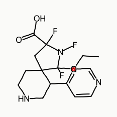 CCOC1(F)N(F)C(F)(C(=O)O)CC12CCNCC2c1ccncn1